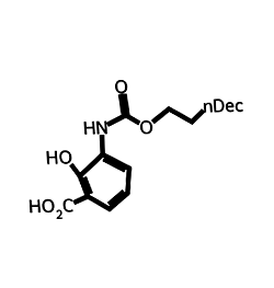 CCCCCCCCCCCCOC(=O)Nc1cccc(C(=O)O)c1O